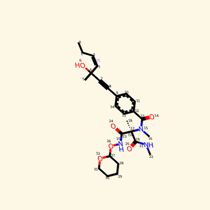 CC/C=C\C(C)(O)C#Cc1ccc(C(=O)N(C)[C@@](C)(C(=O)NC)C(=O)NOC2CCCCO2)cc1